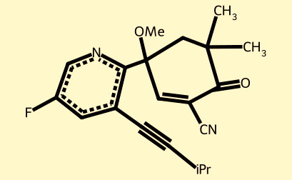 COC1(c2ncc(F)cc2C#CC(C)C)C=C(C#N)C(=O)C(C)(C)C1